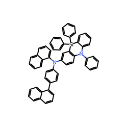 c1ccc(N2c3ccccc3[Si](c3ccccc3)(c3ccccc3)c3cc(N(c4ccc(-c5cccc6ccccc56)cc4)c4cccc5ccccc45)ccc32)cc1